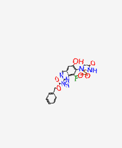 O=C1CN(c2c(O)cc3cnc(NC(=O)OCc4ccccc4)nc3c2F)S(=O)(=O)N1